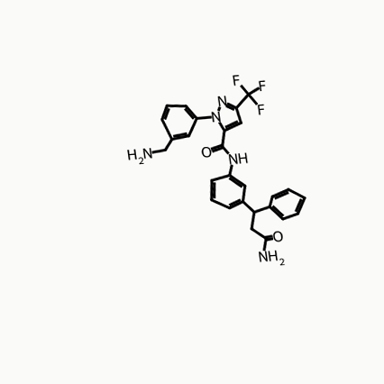 NCc1cccc(-n2nc(C(F)(F)F)cc2C(=O)Nc2cccc(C(CC(N)=O)c3ccccc3)c2)c1